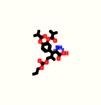 CCCOC(=O)OCC(C)C(c1ccc(OC(=O)C(C)C)c(OC(=O)C(C)C)c1)[C@H](N)C(=O)O